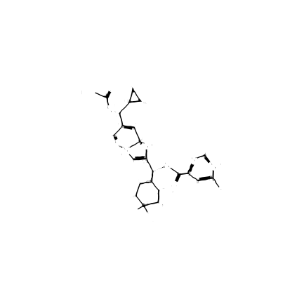 CCCC(=O)N[C@@H](c1cnn2cc([C@@H](NC(=O)c3cc(C)ncn3)C3CCC(F)(F)CC3)nc2c1)C1CC1